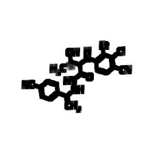 C=C(NNC(=O)C(Nc1ccc(C#N)c(Cl)c1CC)[C@H](C)O)c1ccc(C#N)cc1